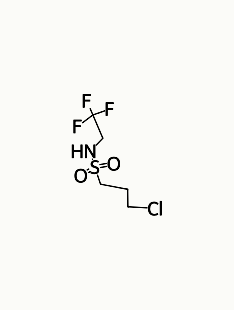 O=S(=O)(CCCCl)NCC(F)(F)F